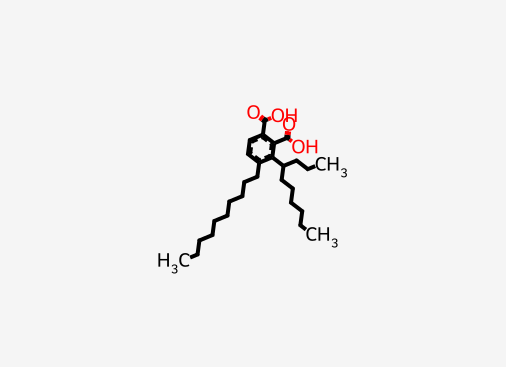 CCCCCCCCCCc1ccc(C(=O)O)c(C(=O)O)c1C(CCC)CCCCCC